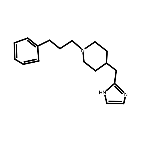 c1ccc(CCCN2CCC(Cc3ncc[nH]3)CC2)cc1